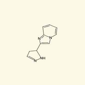 C1=NNC(c2cn3ccccc3n2)C1